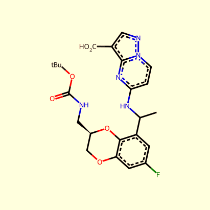 CC(Nc1ccn2ncc(C(=O)O)c2n1)c1cc(F)cc2c1O[C@H](CNC(=O)OC(C)(C)C)CO2